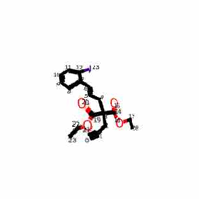 C#CCC(C/C=C/c1ccccc1I)(C(=O)OCC)C(=O)OCC